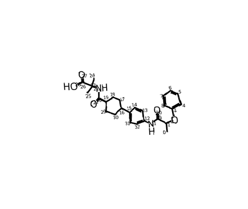 CC(Oc1ccccc1)C(=O)Nc1ccc(C2CCC(C(=O)NC(C)(C)C(=O)O)CC2)cc1